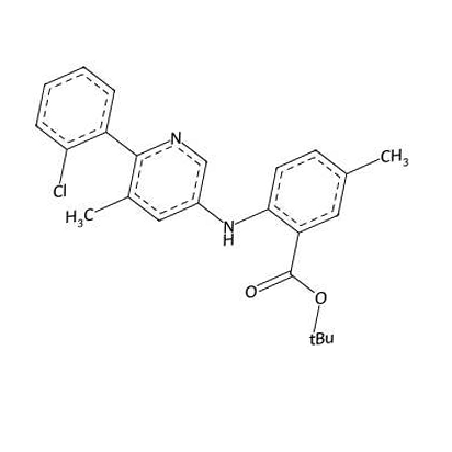 Cc1ccc(Nc2cnc(-c3ccccc3Cl)c(C)c2)c(C(=O)OC(C)(C)C)c1